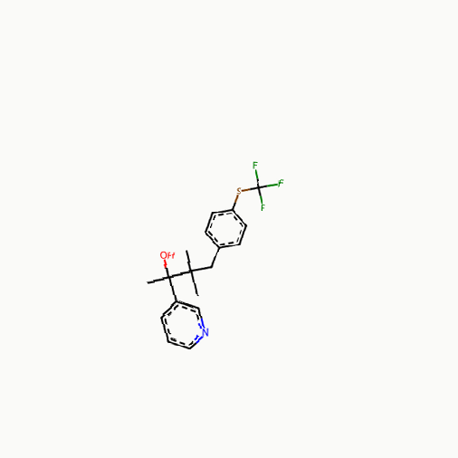 CC(C)(Cc1ccc(SC(F)(F)F)cc1)C(C)(O)c1cccnc1